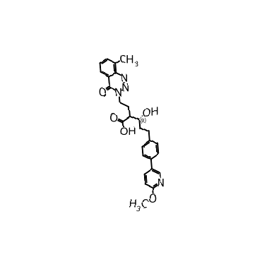 COc1ccc(-c2ccc(CC[C@@H](O)C(CCn3nnc4c(C)cccc4c3=O)C(=O)O)cc2)cn1